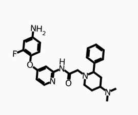 CN(C)C1CCN(CC(=O)Nc2cc(Oc3ccc(N)cc3F)ccn2)C(c2ccccc2)C1